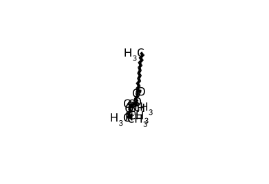 CCCCCCCCCCCCCCCC(=O)OCCOC(C)OP(=O)(O)OCC[N+](C)(C)C